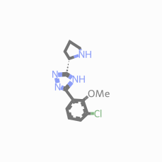 COc1c(Cl)cccc1-c1nnc([C@@H]2CCCN2)[nH]1